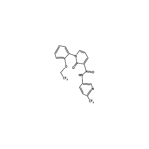 O=C(Nc1ccc(C(F)(F)F)nc1)c1cccn(-c2ccccc2OCC(F)(F)F)c1=O